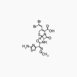 CON=C(C(=O)NC1C(=O)N2C(C(=O)O)=C(C=C(Br)Br)CS[C@@H]12)c1csc(N)n1